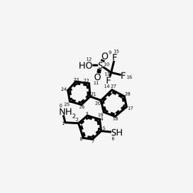 NCc1ccc(S)cc1.O=S(=O)(O)C(F)(F)F.c1ccc(-c2ccccc2)cc1